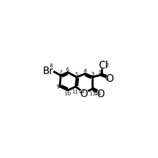 O=C(Cl)c1cc2cc(Br)ccc2oc1=O